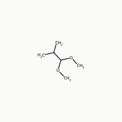 [CH2]C(C)C(OC)OC